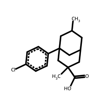 CC1CC2CC(C)(C(=O)O)CC(c3ccc(Cl)cc3)(C1)C2